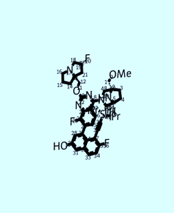 COC[C@@]12CC[C@@H](CN(c3nc(OC[C@@]45CCCN4C[C@H](F)C5)nc4c(F)c(-c5cc(O)cc6ccc(F)c(C#C[Si](C(C)C)(C(C)C)C(C)C)c56)ccc34)C1)N2